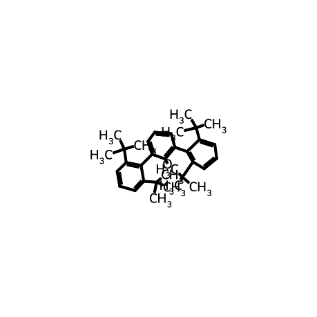 CC(C)(C)c1cccc(C(C)(C)C)c1-c1cccc(-c2c(C(C)(C)C)cccc2C(C)(C)C)c1[O]